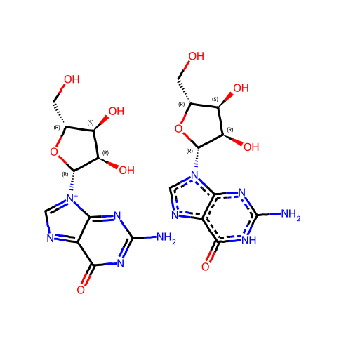 NC1=NC(=O)C2=NC=[N+]([C@@H]3O[C@H](CO)[C@@H](O)[C@H]3O)C2=N1.Nc1nc2c(ncn2[C@@H]2O[C@H](CO)[C@@H](O)[C@H]2O)c(=O)[nH]1